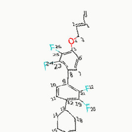 C/C=C/COc1ccc(-c2ccc(C3CCCCC3)c(F)c2F)c(F)c1F